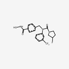 O=C(NO)c1ccc(CN(C(=O)N2CCC(F)C2)c2cccc(C(F)(F)F)c2)cc1